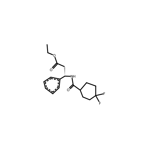 CCOC(=O)C[C@H](NC(=O)C1CCC(F)(F)CC1)c1ccccc1